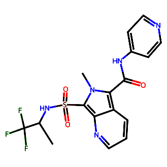 CC(NS(=O)(=O)c1c2ncccc2c(C(=O)Nc2ccncc2)n1C)C(F)(F)F